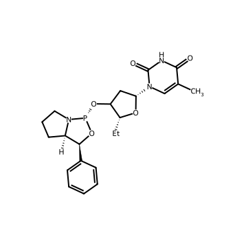 CC[C@H]1O[C@@H](n2cc(C)c(=O)[nH]c2=O)CC1O[P@]1O[C@@H](c2ccccc2)[C@H]2CCCN21